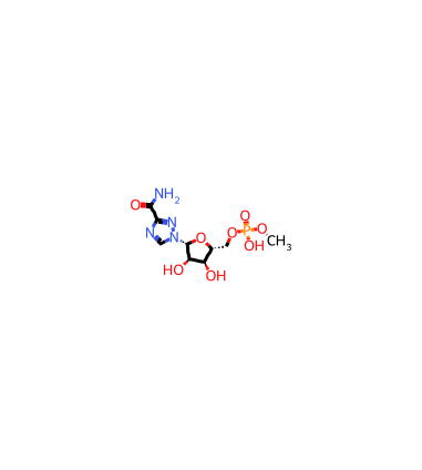 COP(=O)(O)OC[C@H]1O[C@@H](n2cnc(C(N)=O)n2)[C@H](O)[C@@H]1O